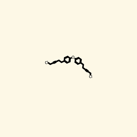 ClCC#CCCc1ccc(Oc2ccc(CCC#CCCl)cc2)cc1